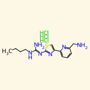 CCCCN/C(N)=N/c1nc(-c2cccc(CN)n2)cs1.Cl.Cl.Cl